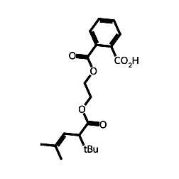 CC(C)=CC(C(=O)OCCOC(=O)c1ccccc1C(=O)O)C(C)(C)C